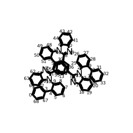 c1ccc(-c2ccccc2-n2c(-c3cc(-c4nc5ccccc5n4-c4ccccc4-c4ccccc4)cc(-c4nc5ccccc5n4-c4ccccc4-c4ccccc4)c3)nc3ccccc32)cc1